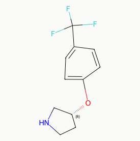 FC(F)(F)c1ccc(O[C@@H]2CCNC2)cc1